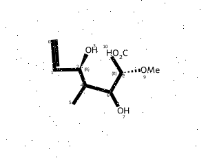 C=C[C@@H](O)C(C)C(O)[C@@H](OC)C(=O)O